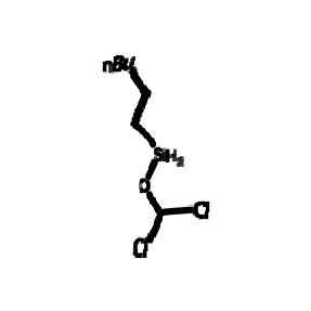 CCCCCC[SiH2]OC(Cl)Cl